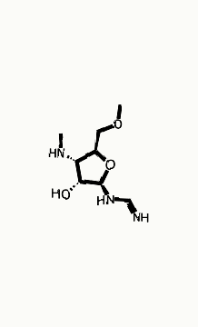 CN[C@H]1[C@@H](O)[C@H](NC=N)O[C@@H]1COC